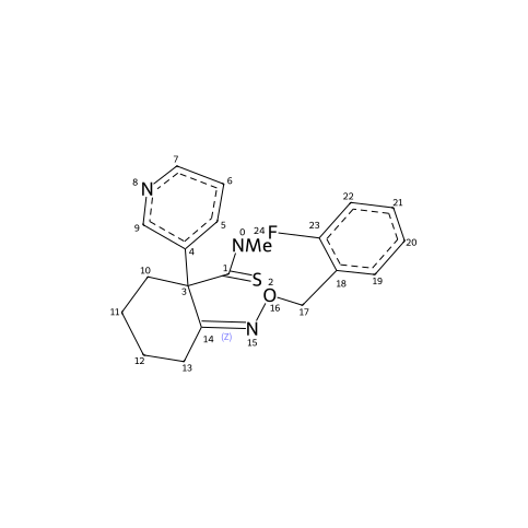 CNC(=S)C1(c2cccnc2)CCCC/C1=N/OCc1ccccc1F